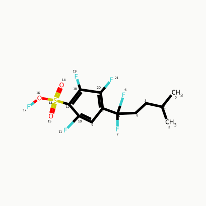 CC(C)CCC(F)(F)c1cc(F)c(S(=O)(=O)OF)c(F)c1F